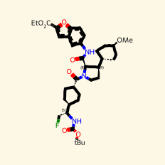 CCOC(=O)c1cc2cc(NC(=O)[C@H]3[C@@H]([C@H]4CC[C@H](OC)CC4)CCN3C(=O)[C@H]3CC[C@H]([C@@H](CF)NC(=O)OC(C)(C)C)CC3)ccc2o1